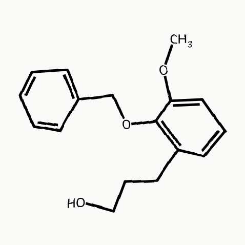 COc1cccc(CCCO)c1OCc1ccccc1